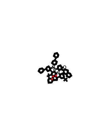 CC(C)(C)c1ccc(N2c3cc4c(c5c3B(c3ccc6oc7cc8ccccc8cc7c6c32)N(c2ccc(-c3ccccc3)cc2)c2ccc(-c3ccccc3)cc2-5)C(C)(C)c2ccccc2-4)c(-c2ccccc2)c1